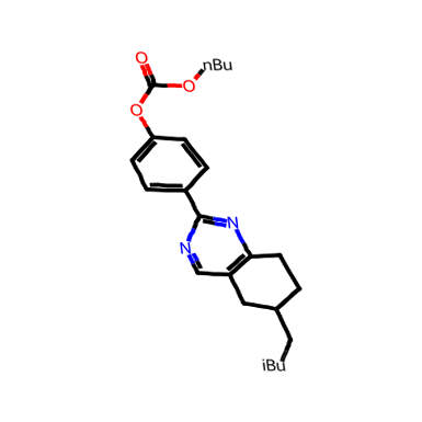 CCCCOC(=O)Oc1ccc(-c2ncc3c(n2)CCC(CC(C)CC)C3)cc1